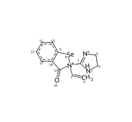 C=C[N+]1(C2=NCCN2)[Se]c2ccccc2C1=O